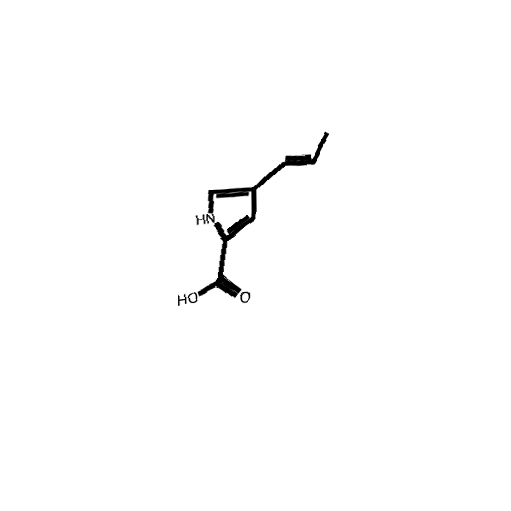 CC=Cc1c[nH]c(C(=O)O)c1